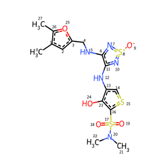 Cc1cc(CNc2n[s+]([O-])nc2Nc2csc(S(=O)(=O)N(C)C)c2O)oc1C